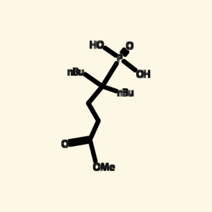 CCCCC(CCCC)(CCC(=O)OC)P(=O)(O)O